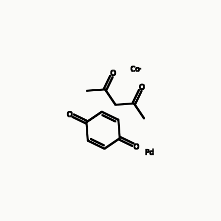 CC(=O)CC(C)=O.O=C1C=CC(=O)C=C1.[Co].[Pd]